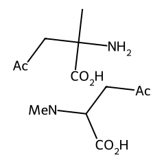 CC(=O)CC(C)(N)C(=O)O.CNC(CC(C)=O)C(=O)O